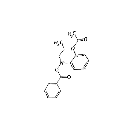 CCCN(OC(=O)c1ccccc1)c1c[c]ccc1OC(C)=O